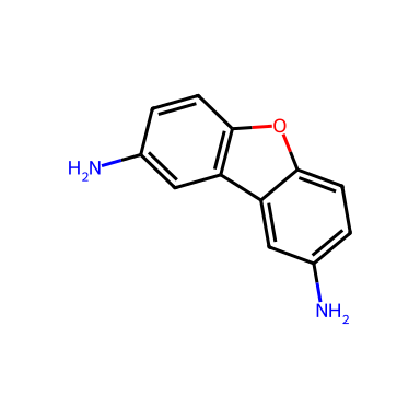 Nc1ccc2oc3ccc(N)cc3c2c1